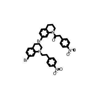 O=C(Cc1ccc([N+](=O)[O-])cc1)N1CCCc2ccc(Br)cc21.O=[N+]([O-])c1ccc(CCN2CCCc3ccc(Br)cc32)cc1